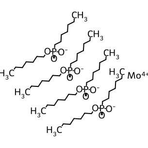 CCCCCCCOP(=O)([O-])CCCCCCC.CCCCCCCOP(=O)([O-])CCCCCCC.CCCCCCCOP(=O)([O-])CCCCCCC.CCCCCCCOP(=O)([O-])CCCCCCC.[Mo+4]